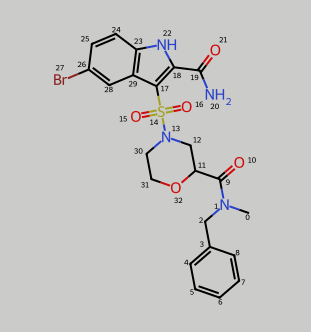 CN(Cc1ccccc1)C(=O)C1CN(S(=O)(=O)c2c(C(N)=O)[nH]c3ccc(Br)cc23)CCO1